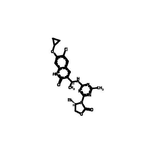 CC[C@H]1COC(=O)N1c1nc(C)nc(N[C@@H](C)c2cc3cc(Cl)c(OC4CC4)cc3[nH]c2=O)n1